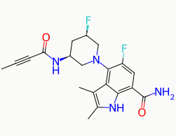 CC#CC(=O)N[C@H]1C[C@@H](F)CN(c2c(F)cc(C(N)=O)c3[nH]c(C)c(C)c23)C1